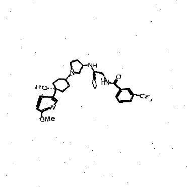 COc1ccc([C@]2(O)CC[C@H](N3CCC(NC(=O)CNC(=O)c4cccc(C(F)(F)F)c4)C3)CC2)cn1